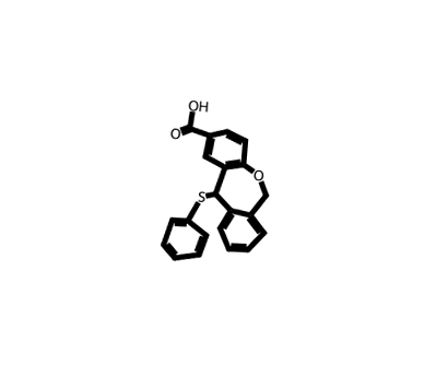 O=C(O)c1ccc2c(c1)C(Sc1ccccc1)c1ccccc1CO2